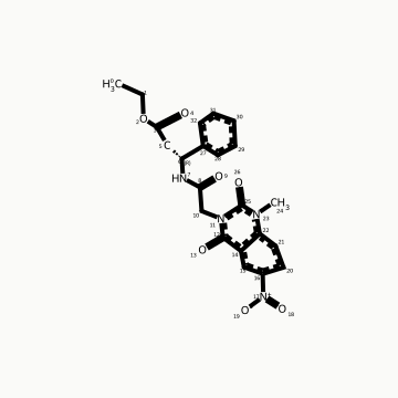 CCOC(=O)C[C@@H](NC(=O)Cn1c(=O)c2cc([N+](=O)[O-])ccc2n(C)c1=O)c1ccccc1